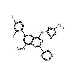 COc1cc(-c2ccc(F)cc2F)cc2c(Nc3nc(C)cs3)nc(-c3cccnc3)nc12